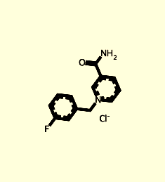 NC(=O)c1ccc[n+](Cc2cccc(F)c2)c1.[Cl-]